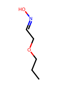 CCCOCC=NO